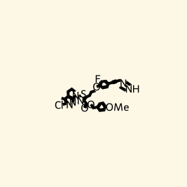 COc1ccc(COC(=O)c2nc(N3CCCc4c3nnc(Cl)c4C)sc2CCCOc2ccc(C#CCN3CCNCC3)cc2F)cc1